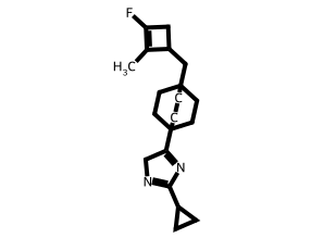 CC1=C(F)CC1CC12CCC(C3=NC(C4CC4)=NC3)(CC1)CC2